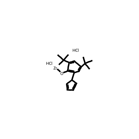 CC(C)(C)c1cc(C2C=CC=C2)c([O][Zr])c(C(C)(C)C)c1.Cl.Cl